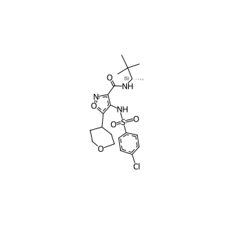 C[C@H](NC(=O)c1noc(C2CCOCC2)c1NS(=O)(=O)c1ccc(Cl)cc1)C(C)(C)C